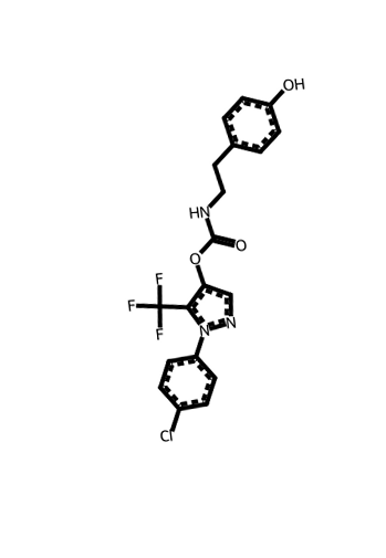 O=C(NCCc1ccc(O)cc1)Oc1cnn(-c2ccc(Cl)cc2)c1C(F)(F)F